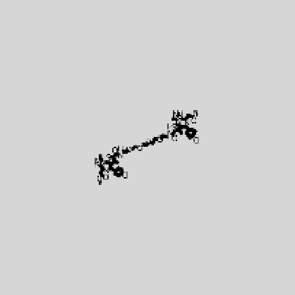 COC(=O)CC1N=C(c2ccc(Cl)cc2)c2c(sc(C(=O)NCCOCCOCCOCCOCCNC(=O)c3sc4c(c3C)C(c3ccc(Cl)cc3)=NC(CC(=O)OC)c3nnc(C)n3-4)c2C)-n2c(C)nnc21